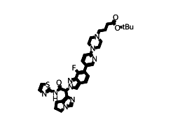 CC(C)(C)OC(=O)CCCN1CCN(c2ccc(-c3ccc4cn(C(C(=O)Nc5nccs5)c5ncn6c5CCC6)nc4c3F)cn2)CC1